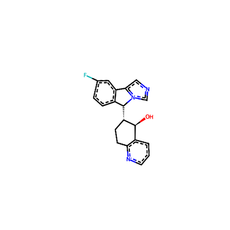 O[C@H]1c2cccnc2CC[C@@H]1C1c2ccc(F)cc2-c2cncn21